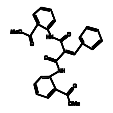 COC(=O)c1ccccc1NC(=O)C(=Cc1ccccc1)C(=O)Nc1ccccc1C(=O)OC